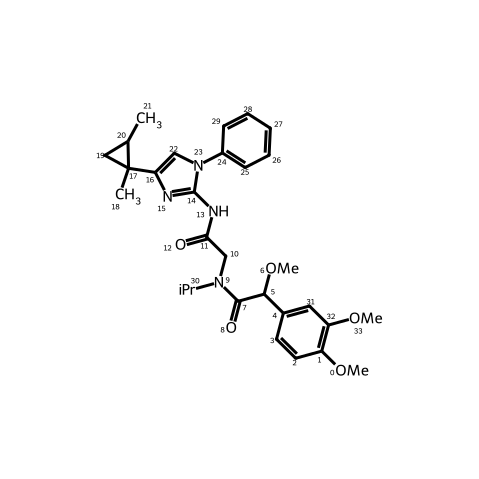 COc1ccc(C(OC)C(=O)N(CC(=O)Nc2nc(C3(C)CC3C)cn2-c2ccccc2)C(C)C)cc1OC